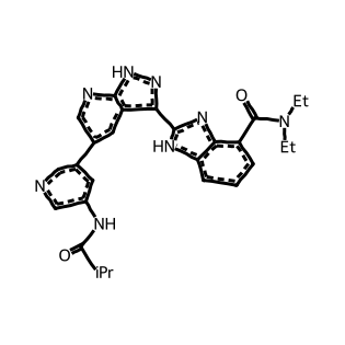 CCN(CC)C(=O)c1cccc2[nH]c(-c3n[nH]c4ncc(-c5cncc(NC(=O)C(C)C)c5)cc34)nc12